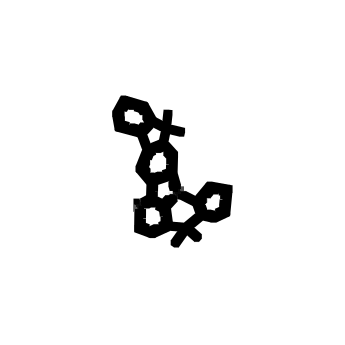 CC1(C)c2ccccc2-c2cc3c4nccc5c4n(c3cc21)-c1ccccc1C5(C)C